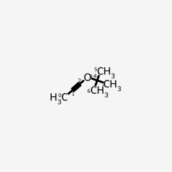 CC#COC(C)(C)C